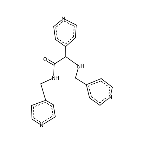 O=C(NCc1ccncc1)C(NCc1ccncc1)c1ccncc1